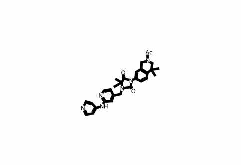 CC(=O)N1Cc2cc(N3C(=O)N(Cc4ccnc(Nc5ccncc5)c4)C(C)(C)C3=O)ccc2C(C)(C)C1